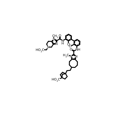 Cn1c(C(=O)Nc2cccc(-c3cccc(NC(=O)c4nc5c(n4C)CCN(CC(=O)O)C5)c3Cl)c2Cl)nc2c1CCC(CCC13CCC(C(=O)O)(CC1)C3)CCC2